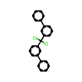 ClC(Cl)(c1cccc(-c2ccccc2)c1)c1cccc(-c2ccccc2)c1